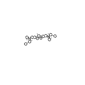 Cc1ccccc1N(c1ccc2cc3c(cc2c1)oc1c3cc(C)c2c3cc4ccc(N(c5ccccc5C)c5cc(-c6ccccc6)ccc5C)cc4cc3oc12)c1cc(-c2ccccc2)ccc1C